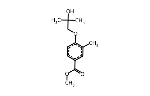 COC(=O)c1ccc(OCC(C)(C)O)c(C)c1